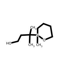 CC(C)(CCO)[Si]1(C)CCCCO1